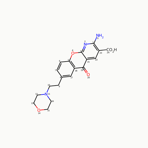 Nc1nc2oc3ccc(CCN4CCOCC4)cc3c(=O)c2cc1C(=O)O